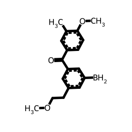 Bc1cc(CCOC)cc(C(=O)c2ccc(OC)c(C)c2)c1